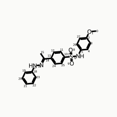 COc1ccc(NS(=O)(=O)c2ccc(C(C)=NNc3ccccc3)cc2)cc1